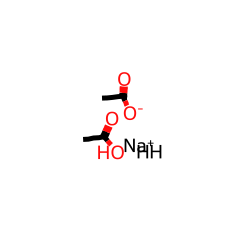 CC(=O)O.CC(=O)[O-].[HH].[Na+]